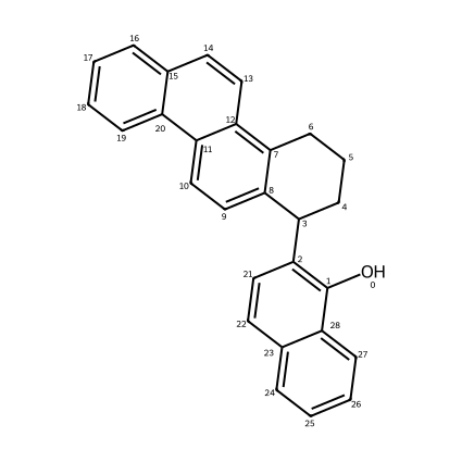 Oc1c(C2CCCc3c2ccc2c3ccc3ccccc32)ccc2ccccc12